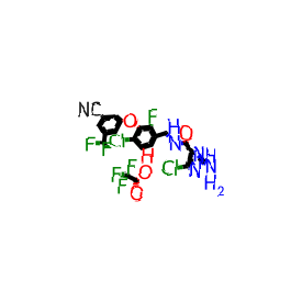 N#Cc1cc(Oc2c(Cl)ccc(CNC(=O)c3[nH]c(N)nc3Cl)c2F)cc(C(F)F)c1.O=C(O)C(F)(F)F